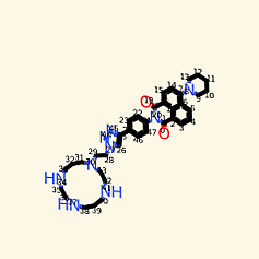 O=C1c2cccc3c(N4CCCCC4)ccc(c23)C(=O)N1c1ccc(-c2cn(CCN3CCCNCCNCCCNCC3)nn2)cc1